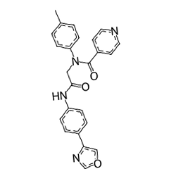 Cc1ccc(N(CC(=O)Nc2ccc(-c3cocn3)cc2)C(=O)c2ccncc2)cc1